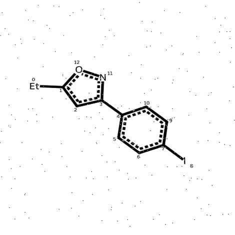 CCc1cc(-c2ccc(I)cc2)no1